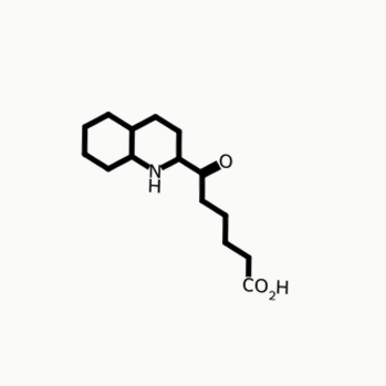 O=C(O)CCCCC(=O)C1CCC2CCCCC2N1